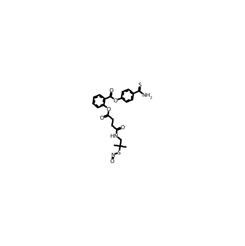 CC(C)(CNC(=O)CCC(=O)Oc1ccccc1C(=O)Oc1ccc(C(N)=S)cc1)SN=O